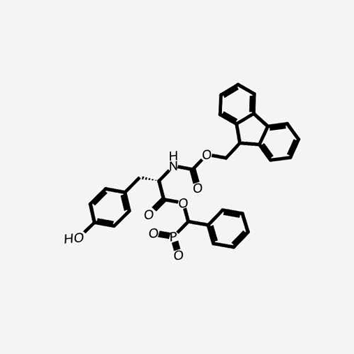 O=C(N[C@@H](Cc1ccc(O)cc1)C(=O)OC(c1ccccc1)P(=O)=O)OCC1c2ccccc2-c2ccccc21